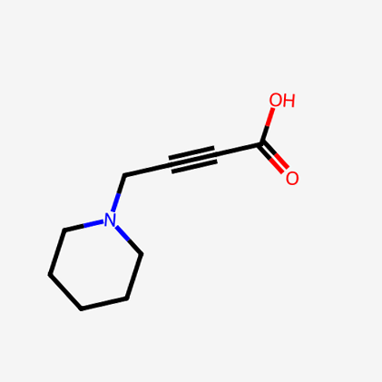 O=C(O)C#CCN1CCCCC1